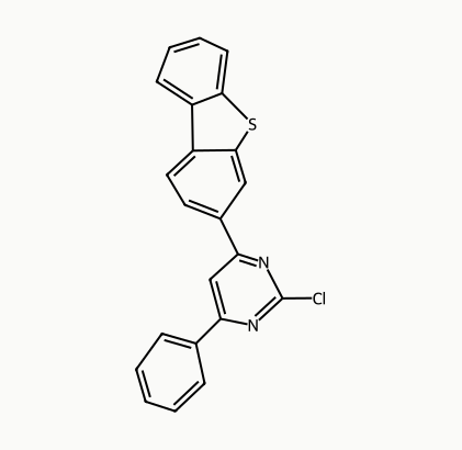 Clc1nc(-c2ccccc2)cc(-c2ccc3c(c2)sc2ccccc23)n1